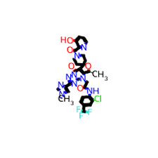 C[C@H]1OC2(CCN(C(=O)c3ncccc3O)CC2)c2c1n(CC(=O)Nc1ccc(C(F)(F)F)cc1Cl)c1nc(-c3cn(C)cn3)nn1c2=O